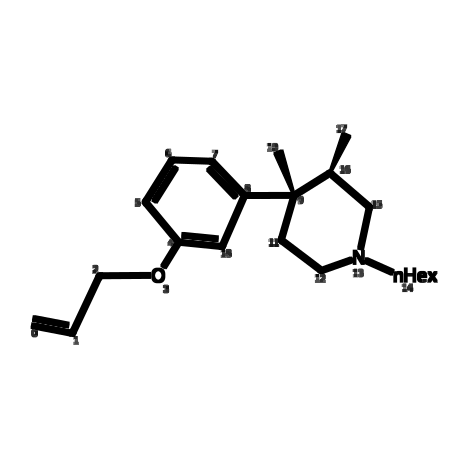 C=CCOc1cccc([C@@]2(C)CCN(CCCCCC)C[C@@H]2C)c1